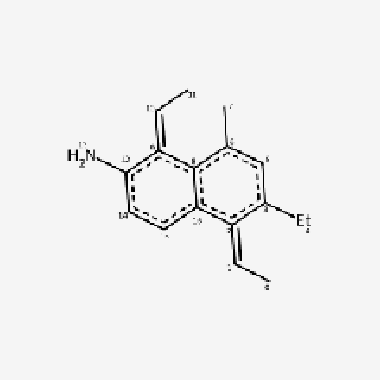 C/C=c1\c(CC)cc(C)c2/c(=C\C)c(N)ccc12